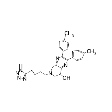 Cc1ccc(-c2nc3c(nc2-c2ccc(C)cc2)C(O)CN(CCCCc2nnn[nH]2)C3)cc1